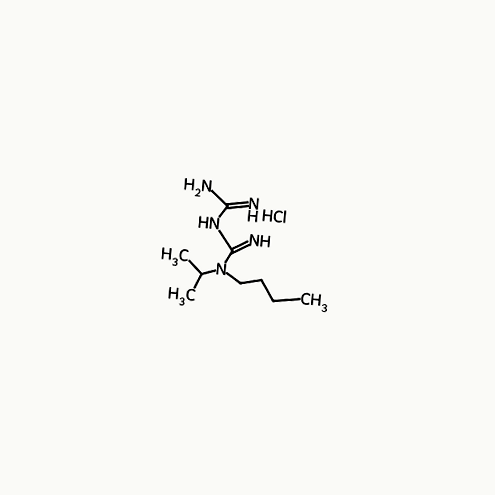 CCCCN(C(=N)NC(=N)N)C(C)C.Cl